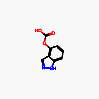 O=C(O)Oc1cccc2[nH]ncc12